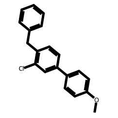 COc1ccc(-c2ccc(Cc3ccccc3)c(Cl)c2)cc1